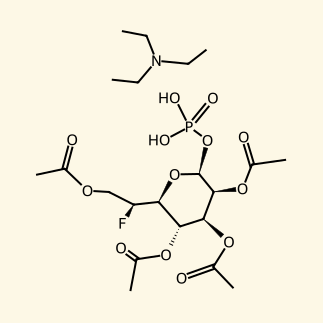 CC(=O)OC[C@H](F)[C@H]1O[C@@H](OP(=O)(O)O)[C@@H](OC(C)=O)[C@@H](OC(C)=O)[C@@H]1OC(C)=O.CCN(CC)CC